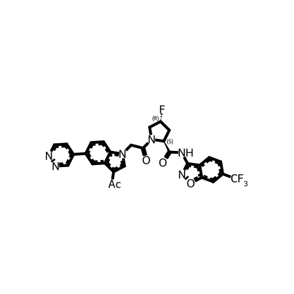 CC(=O)c1cn(CC(=O)N2C[C@H](F)C[C@H]2C(=O)Nc2noc3cc(C(F)(F)F)ccc23)c2ccc(-c3ccnnc3)cc12